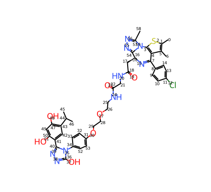 Cc1sc2c(c1C)C(c1ccc(Cl)cc1)=N[C@@H](CC(=O)NCC(=O)NCCOCCOc1ccc(-n3c(O)nnc3-c3cc(C(C)C)c(O)cc3O)cc1)c1nnc(C)n1-2